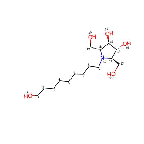 OCCCCCCCCCN1[C@H](CO)[C@@H](O)[C@H](O)[C@H]1CO